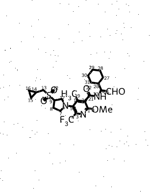 COc1nc(C(F)(F)F)c(N2CCC(S(=O)(=O)CC3CC3)C2)c(C)c1C(=O)NC(C=O)C1CCCCC1